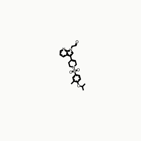 Cc1cc(S(=O)(=O)N2CC=C(c3cn(CC=O)c4ncccc34)CC2)ccc1OC(C)C